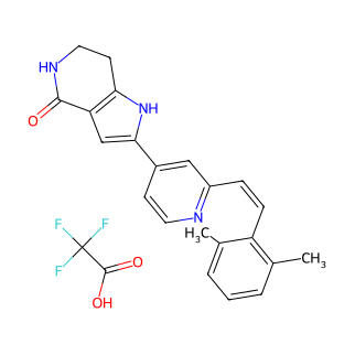 Cc1cccc(C)c1/C=C\c1cc(-c2cc3c([nH]2)CCNC3=O)ccn1.O=C(O)C(F)(F)F